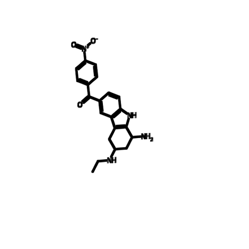 CCNC1Cc2c([nH]c3ccc(C(=O)c4ccc([N+](=O)[O-])cc4)cc23)C(N)C1